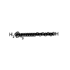 C=C(C)C(=O)OCOCOCOCOCOCOCOCOCOCCOCCOCCOCCOCCOCCOCCO